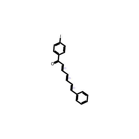 O=C(/C=C/C=C/C=C/c1ccccc1)c1ccc(I)cc1